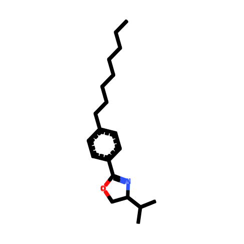 CCCCCCCCc1ccc(C2=NC(C(C)C)CO2)cc1